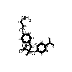 CC(C)c1ccc(OC(C)(Cc2ccc(OCCN)cc2)C(=O)O)cc1